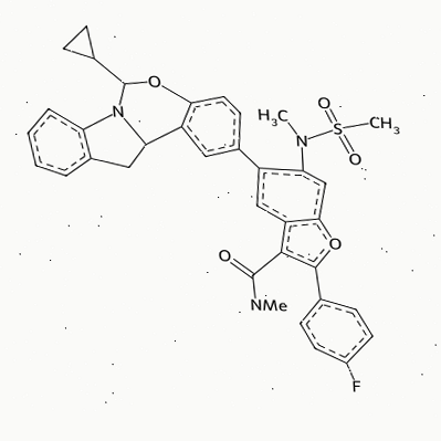 CNC(=O)c1c(-c2ccc(F)cc2)oc2cc(N(C)S(C)(=O)=O)c(-c3ccc4c(c3)C3Cc5ccccc5N3C(C3CC3)O4)cc12